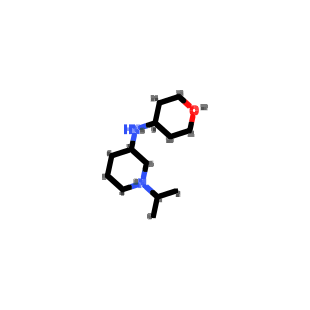 CC(C)N1CCCC(NC2CCOCC2)C1